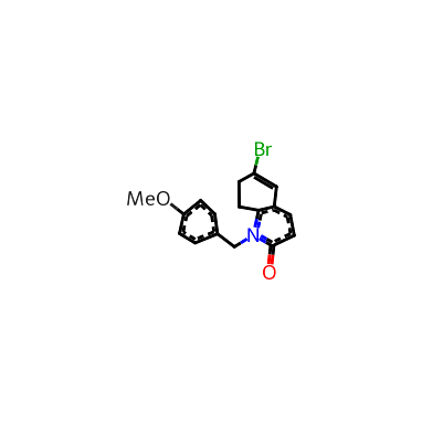 COc1ccc(Cn2c3c(ccc2=O)C=C(Br)CC3)cc1